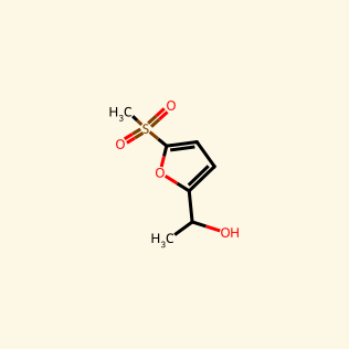 CC(O)c1ccc(S(C)(=O)=O)o1